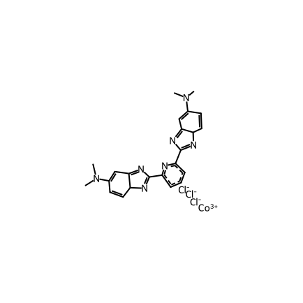 CN(C)C1=CC2=NC(c3cccc(C4=NC5C=CC(N(C)C)=CC5=N4)n3)=NC2C=C1.[Cl-].[Cl-].[Cl-].[Co+3]